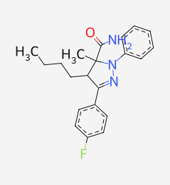 CCCCC1C(c2ccc(F)cc2)=NN(c2ccccc2)C1(C)C(N)=O